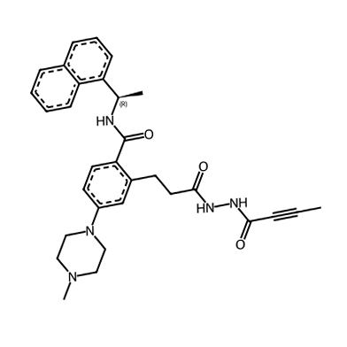 CC#CC(=O)NNC(=O)CCc1cc(N2CCN(C)CC2)ccc1C(=O)N[C@H](C)c1cccc2ccccc12